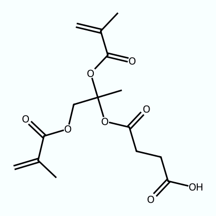 C=C(C)C(=O)OCC(C)(OC(=O)CCC(=O)O)OC(=O)C(=C)C